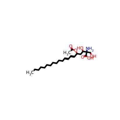 CCCCCCCCCCC/C=C/C=C/C(CC(O)C(N)(CO)C(=O)O)OC(C)=O